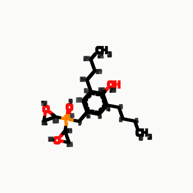 CCCCc1cc(CP(=O)(C2CO2)C2CO2)cc(CCCC)c1O